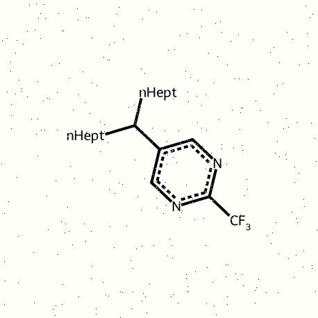 CCCCCCCC(CCCCCCC)c1cnc(C(F)(F)F)nc1